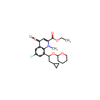 CCOC(=O)C1=CC(=C=O)c2cc(F)cc(C(CC3CC3)OC3CCCCO3)c2N1C